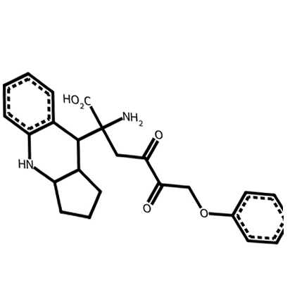 NC(CC(=O)C(=O)COc1ccccc1)(C(=O)O)C1c2ccccc2NC2CCCC21